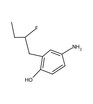 CCC(F)Cc1cc(N)ccc1O